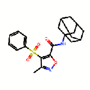 Cc1noc(C(=O)NC23CC4CC(CC(C4)C2)C3)c1S(=O)(=O)c1ccccc1